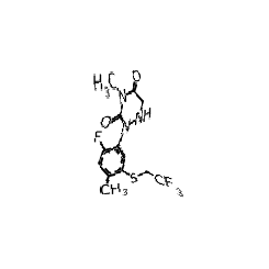 Cc1cc(F)c(N2NCC(=O)N(C)C2=O)cc1SCC(F)(F)F